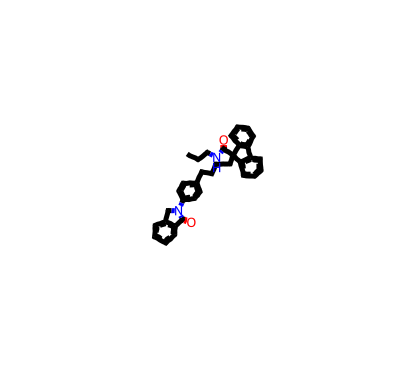 CCCNC(=O)C1(CCCCc2ccc(N3Cc4ccccc4C3=O)cc2)c2ccccc2-c2ccccc21